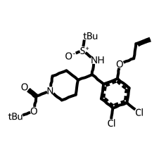 C=CCOc1cc(Cl)c(Cl)cc1C(N[S+]([O-])C(C)(C)C)C1CCN(C(=O)OC(C)(C)C)CC1